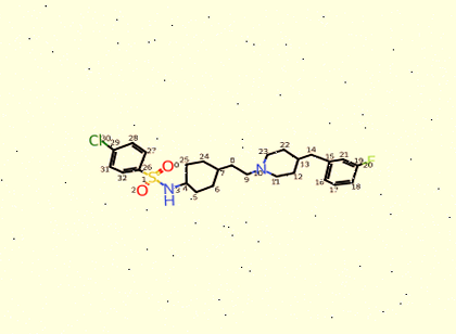 O=S(=O)(NC1CCC(CCN2CCC(Cc3cccc(F)c3)CC2)CC1)c1ccc(Cl)cc1